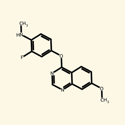 CNc1ccc(Oc2ncnc3cc(OC)ccc23)cc1F